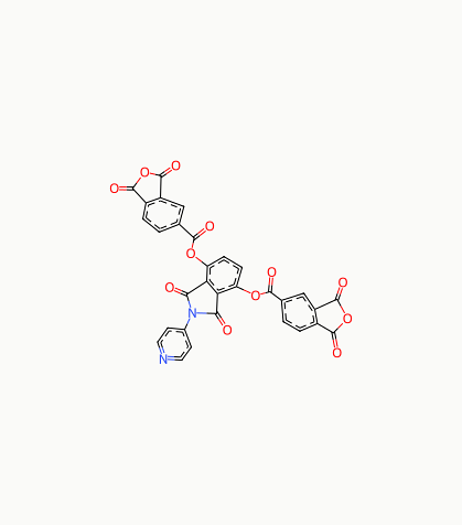 O=C(Oc1ccc(OC(=O)c2ccc3c(c2)C(=O)OC3=O)c2c1C(=O)N(c1ccncc1)C2=O)c1ccc2c(c1)C(=O)OC2=O